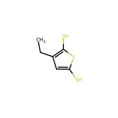 CCc1cc(S)sc1S